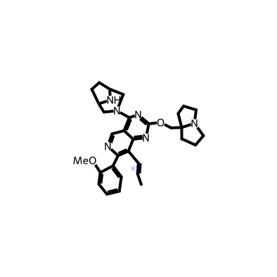 C/C=C/c1c(-c2ccccc2OC)ncc2c(N3CC4CCC(C3)N4)nc(OCC34CCCN3CCC4)nc12